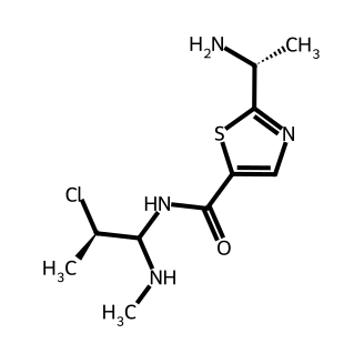 CNC(NC(=O)c1cnc([C@@H](C)N)s1)[C@@H](C)Cl